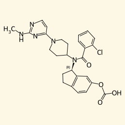 CNc1nccc(N2CCC(N(C(=O)c3ccccc3Cl)[C@@H]3CCc4ccc(OC(=O)O)cc43)CC2)n1